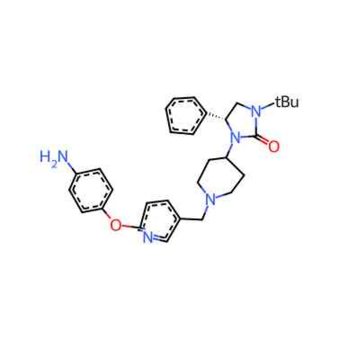 CC(C)(C)N1C[C@@H](c2ccccc2)N(C2CCN(Cc3ccc(Oc4ccc(N)cc4)nc3)CC2)C1=O